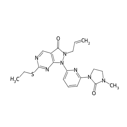 C=CCn1c(=O)c2cnc(SCC)nc2n1-c1cccc(N2CCN(C)C2=O)n1